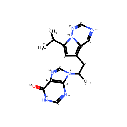 CC(C)c1cc(CC(C)n2cnc3c(=O)[nH]cnc32)c2cncnn12